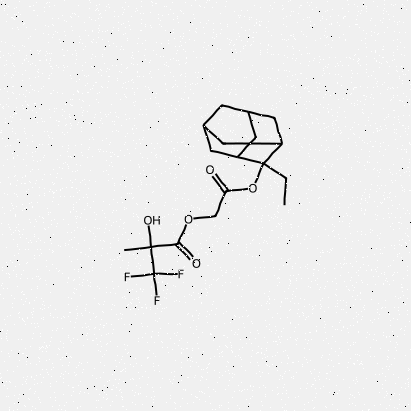 CCC1(OC(=O)COC(=O)C(C)(O)C(F)(F)F)C2CC3CC(C2)CC1C3